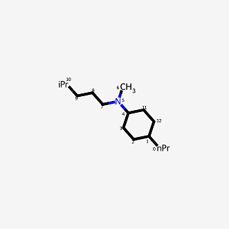 CCCC1CCC(N(C)CCCC(C)C)CC1